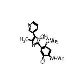 COc1cc(NC(C)=O)c(Cl)cc1-c1nc(C)c(-c2cccnc2)n1O